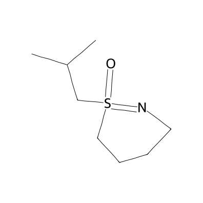 CC(C)CS1(=O)=NCCCC1